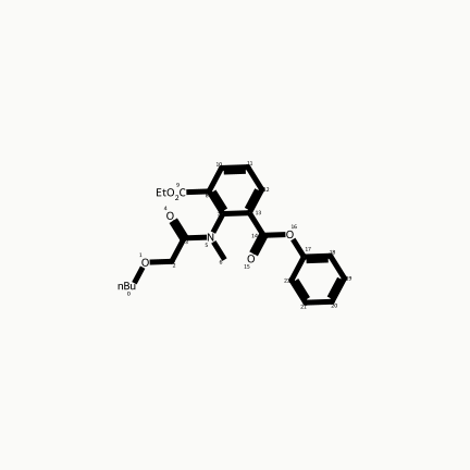 CCCCOCC(=O)N(C)c1c(C(=O)OCC)cccc1C(=O)Oc1ccccc1